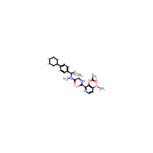 COc1ccnc(C(=O)N[C@@H](C)C(=O)N(C)C(C)c2ccc(C3CCCCC3)cc2)c1OC(C)=O